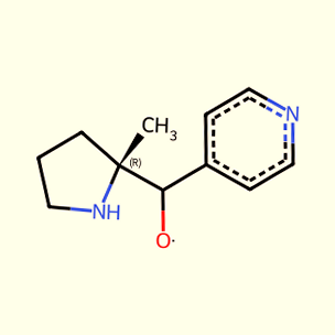 C[C@]1(C([O])c2ccncc2)CCCN1